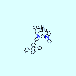 CC1(C)c2ccccc2-c2ccc(N(c3ccc(-c4ccc5c(-c6ccccc6)c6ccccc6c(-c6ccccc6)c5c4)cc3)c3ccc(N(c4ccccc4)c4ccccc4)cc3)cc21